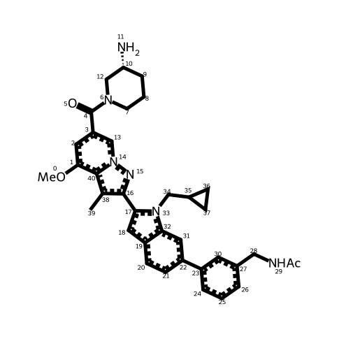 COc1cc(C(=O)N2CCC[C@@H](N)C2)cn2nc(-c3cc4ccc(-c5cccc(CNC(C)=O)c5)cc4n3CC3CC3)c(C)c12